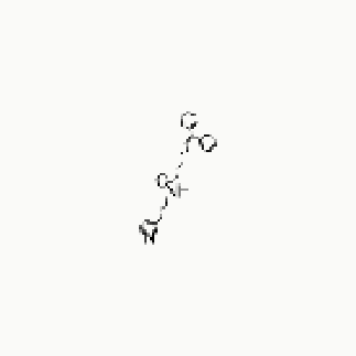 O=C(CCCCCC=C(c1ccccc1)c1ccccc1)NCCCCc1cccnc1